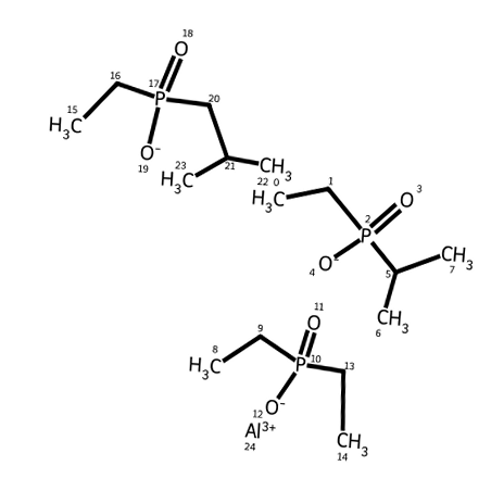 CCP(=O)([O-])C(C)C.CCP(=O)([O-])CC.CCP(=O)([O-])CC(C)C.[Al+3]